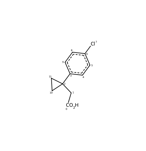 O=C(O)CC1(c2ccc(Cl)cc2)CC1